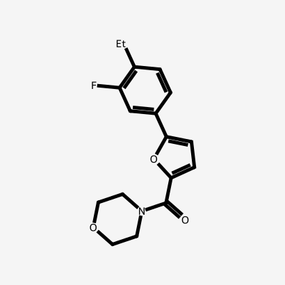 CCc1ccc(-c2ccc(C(=O)N3CCOCC3)o2)cc1F